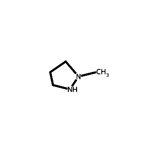 CN1CCCN1